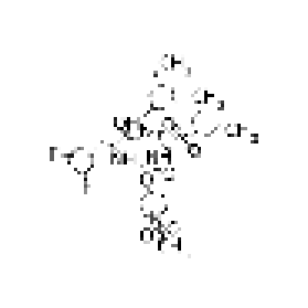 CCCC(CCC)S(=O)(=O)CC(NC(=O)OC1CCN(S(C)(=O)=O)CC1)C(=O)N(Cc1cccc(CC)c1)C[C@@H](O)[C@@H](N)Cc1cc(F)cc(F)c1